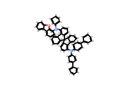 c1ccc(-c2ccc(N(c3ccc(-c4ccccc4)cc3)c3cccc4c3-c3ccccc3C43c4ccccc4-c4c(N(c5ccccc5)c5cccc6c5oc5ccccc56)cccc43)cc2)cc1